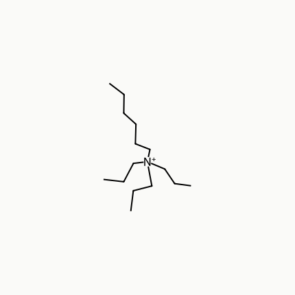 CCCCCC[N+](CCC)(CCC)CCC